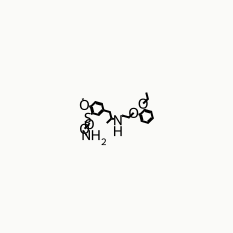 CCOc1ccccc1OCCNC(C)Cc1ccc(OC)c(SOON)c1